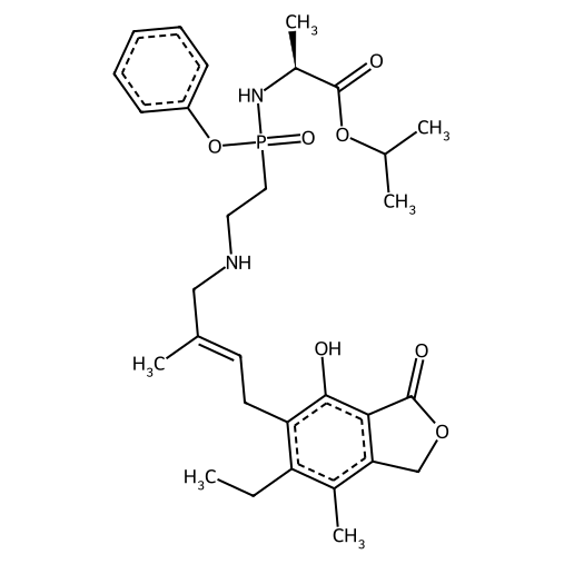 CCc1c(C)c2c(c(O)c1C/C=C(\C)CNCCP(=O)(N[C@@H](C)C(=O)OC(C)C)Oc1ccccc1)C(=O)OC2